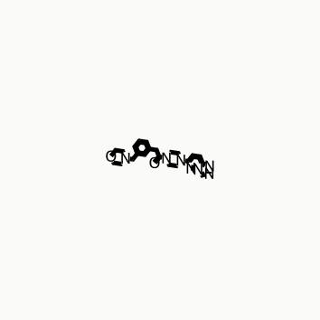 O=C(Cc1cccc(CN2CCOCC2)c1)N1CCN(c2ccc3nncn3n2)CC1